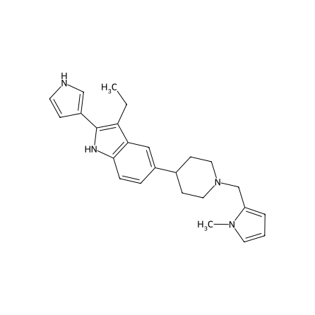 CCc1c(-c2cc[nH]c2)[nH]c2ccc(C3CCN(Cc4cccn4C)CC3)cc12